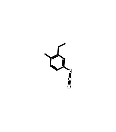 CCc1cc(N=C=O)ccc1C